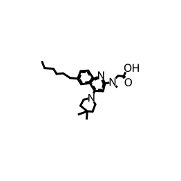 CCCCCCc1ccc2nc(N(C)CC(=O)O)cc(N3CCC(C)(C)CC3)c2c1